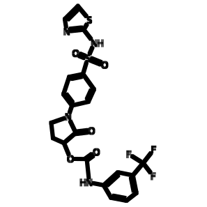 O=C(Nc1cccc(C(F)(F)F)c1)OC1CCN(c2ccc(S(=O)(=O)Nc3nccs3)cc2)C1=O